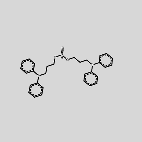 O=[PH](OCCCP(c1ccccc1)c1ccccc1)OCCCP(c1ccccc1)c1ccccc1